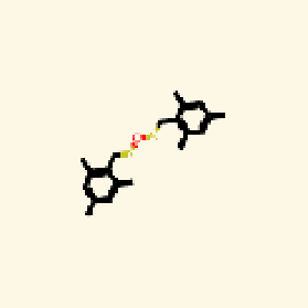 Cc1cc(C)c(CSOSCc2c(C)cc(C)cc2C)c(C)c1